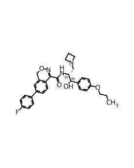 CCCOc1ccc([C@@H](O)[C@@H](CN2CCC2)NC(=O)C2=NOCc3cc(-c4ccc(F)cc4)ccc32)cc1